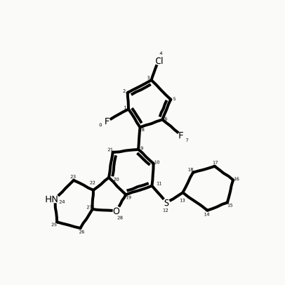 Fc1cc(Cl)cc(F)c1-c1cc(SC2CCCCC2)c2c(c1)C1CNCCC1O2